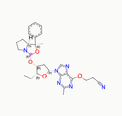 CC[C@H]1O[C@@H](n2cnc3c(OCCC#N)nc(C)nc32)C[C@H]1O[P@@]1O[C@](C)(c2ccccc2)[C@@H]2CCCN21